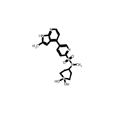 Cc1cc2c(-c3ccc(S(=O)(=O)N(C)C4CCS(O)(O)CC4)nc3)ccnc2[nH]1